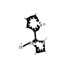 CCn1ccnc1-c1cccs1